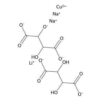 O=C([O-])C(O)C(O)C(=O)[O-].O=C([O-])C([O-])C(O)C(=O)[O-].[Cu+2].[Li+].[Na+].[Na+]